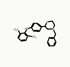 Cc1cccc(C)c1Nc1ccc(C2CN(Cc3ccccc3)CCO2)cc1